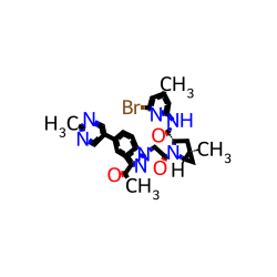 CC(=O)c1nn(CC(=O)N2[C@H](C(=O)Nc3cc(C)cc(Br)n3)C[C@@]3(C)C[C@@H]23)c2ccc(-c3cnc(C)nc3)cc12